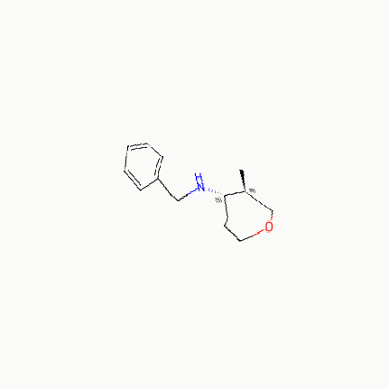 C[C@H]1COCC[C@@H]1NCc1ccccc1